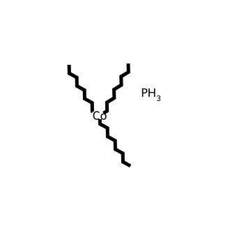 CCCCCCC[CH2][Co]([CH2]CCCCCCC)[CH2]CCCCCCC.P